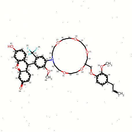 C=CCc1ccc(OCC2COCCOCCOCCN(c3cc(C(F)(F)F)c(-c4c5ccc(=O)cc-5oc5cc(O)ccc45)cc3OC)CCOCCO2)c(OC)c1